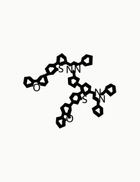 c1ccc(-c2cc(-c3cccc4c3sc3cc(-c5ccc6oc7ccccc7c6c5)ccc34)nc(-c3cccc(-c4ccc(-c5cc(-c6ccccc6)nc(-c6ccccc6)n5)c5sc6cc(-c7ccc8c(c7)oc7ccccc78)ccc6c45)c3)n2)cc1